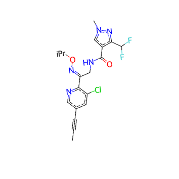 CC#Cc1cnc(C(CNC(=O)c2cn(C)nc2C(F)F)=NOC(C)C)c(Cl)c1